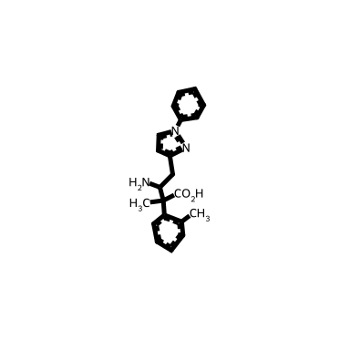 Cc1ccccc1C(C)(C(=O)O)C(N)Cc1ccn(-c2ccccc2)n1